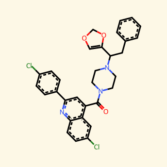 O=C(c1cc(-c2ccc(Cl)cc2)nc2ccc(Cl)cc12)N1CCN(C(Cc2ccccc2)C2=COCO2)CC1